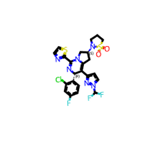 O=S1(=O)CCCN1[C@H]1CC2=C(c3ccn(C(F)F)n3)[C@H](c3ccc(F)cc3Cl)N=C(c3nccs3)N2C1